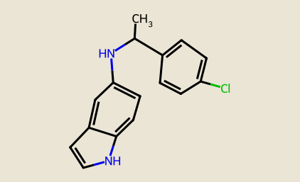 CC(Nc1ccc2[nH]ccc2c1)c1ccc(Cl)cc1